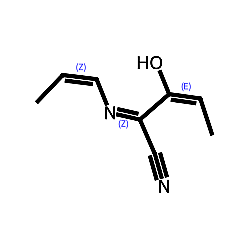 C\C=C/N=C(C#N)\C(O)=C/C